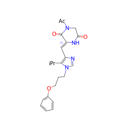 CC(=O)N1CC(=O)N/C(=C\c2ncn(CCCOc3ccccc3)c2C(C)C)C1=O